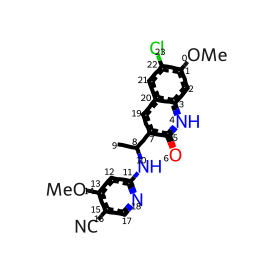 COc1cc2[nH]c(=O)c(C(C)Nc3cc(OC)c(C#N)cn3)cc2cc1Cl